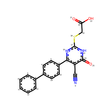 N#Cc1c(-c2ccc(-c3ccccc3)cc2)nc(SCC(=O)O)[nH]c1=O